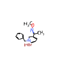 Br.CON=C(C)C1=CC=CN(Cc2ccccc2)C1